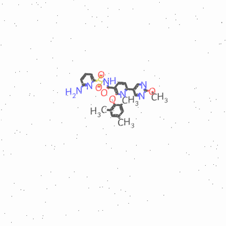 COc1ncc(-c2ccc(C(=O)NS(=O)(=O)c3cccc(N)n3)c(Oc3c(C)cc(C)cc3C)n2)cn1